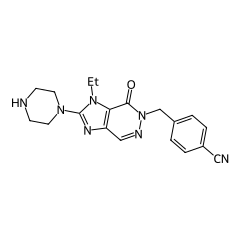 CCn1c(N2CCNCC2)nc2cnn(Cc3ccc(C#N)cc3)c(=O)c21